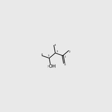 C=C(C)C(C)C(C)O